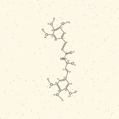 COc1cc(C=CC(=O)N[S+]([O-])C=Cc2cc(OC)c(OC)c(OC)c2)cc(OC)c1OC